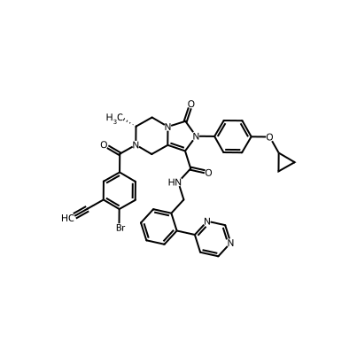 C#Cc1cc(C(=O)N2Cc3c(C(=O)NCc4ccccc4-c4ccncn4)n(-c4ccc(OC5CC5)cc4)c(=O)n3C[C@H]2C)ccc1Br